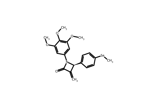 C=C1C(=O)N(c2cc(OC)c(OC)c(OC)c2)[C@H]1c1ccc([Se]C)cc1